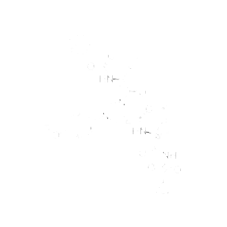 C=C[C@@H]1C[C@]1(NC(=O)[C@@H]1CN(c2ccc(OC)cc2)CN1C(=O)[C@@H](NC(=O)OC1CCCC1)C(C)(C)C)C(=O)NS(=O)(=O)C1CC1